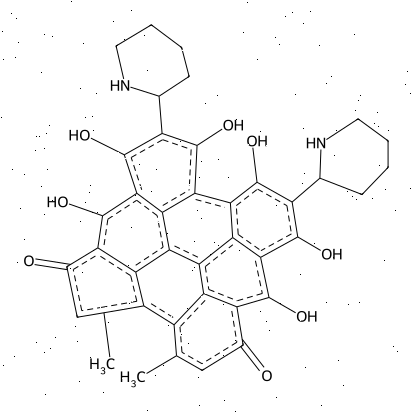 Cc1cc(=O)c2c(O)c3c(O)c(C4CCCCN4)c(O)c4c5c(O)c(C6CCCCN6)c(O)c6c(O)c7c(=O)cc(C)c8c1c2c(c34)c(c65)c78